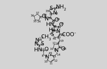 Cc1nnc(NC(=O)C[n+]2cccc(CN3CCC(=CC4=C(C(=O)[O-])N5C(=O)[C@@H](NC(=O)C(=NOC6CCCC6)c6csc(N)n6)[C@H]5SC4)C3=O)c2)s1